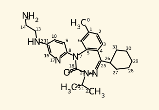 Cc1ccc2c(c1)N(c1ccc(NCCN)cn1)C(=O)N(C(C)C)N=C2C1CCCCC1